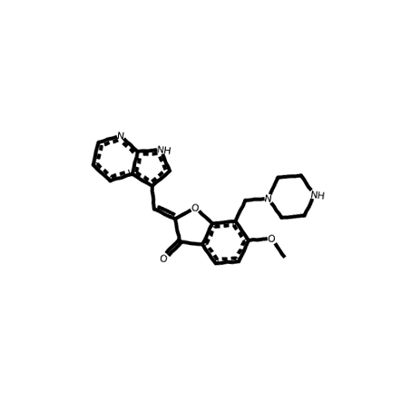 COc1ccc2c(c1CN1CCNCC1)OC(=Cc1c[nH]c3ncccc13)C2=O